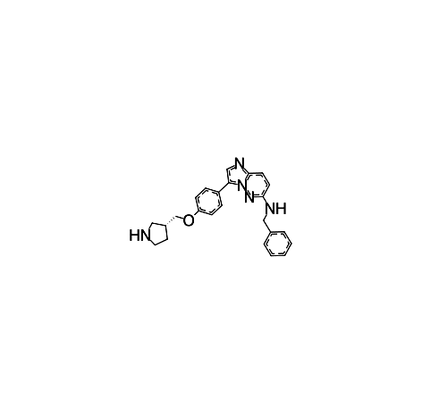 c1ccc(CNc2ccc3ncc(-c4ccc(OC[C@@H]5CCNC5)cc4)n3n2)cc1